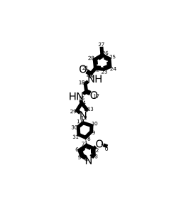 COc1cnccc1[C@H]1CC[C@@H](N2CC(NC(=O)CNC(=O)c3cccc(C)c3)C2)CC1